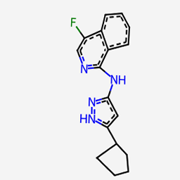 Fc1cnc(Nc2cc(C3CCCC3)[nH]n2)c2ccccc12